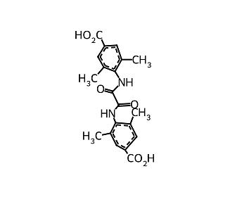 Cc1cc(C(=O)O)cc(C)c1NC(=O)C(=O)Nc1c(C)cc(C(=O)O)cc1C